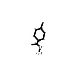 CC1CCC(C(C)OS)CC1